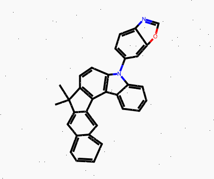 CC1(C)c2cc3ccccc3cc2-c2c1ccc1c2c2ccccc2n1-c1ccc2ncoc2c1